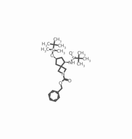 CC(C)(C)[S@@+]([O-])N[C@@H]1C[C@H](O[Si](C)(C)C(C)(C)C)CC12CN(C(=O)OCc1ccccc1)C2